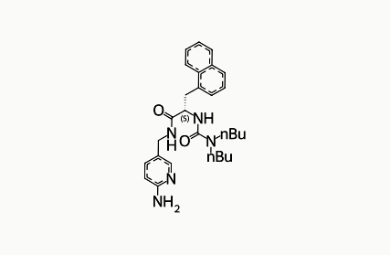 CCCCN(CCCC)C(=O)N[C@@H](Cc1cccc2ccccc12)C(=O)NCc1ccc(N)nc1